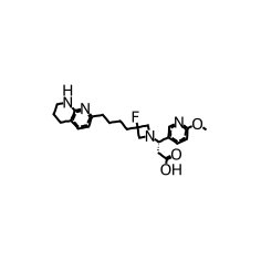 COc1ccc([C@H](CC(=O)O)N2CC(F)(CCCCc3ccc4c(n3)NCCC4)C2)cn1